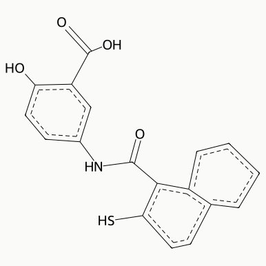 O=C(O)c1cc(NC(=O)c2c(S)ccc3ccccc23)ccc1O